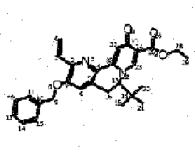 C=Cc1nc2c(cc1OCc1ccccc1)CC(C(C)(C)C)n1cc(C(=O)OCC)c(=O)cc1-2